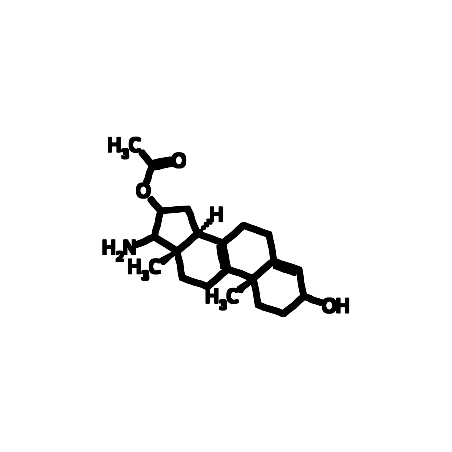 CC(=O)OC1C[C@H]2C3=C(CC[C@]2(C)C1N)[C@@]1(C)CCC(O)C=C1CC3